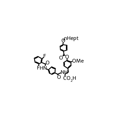 CCCCCCCOc1ccc(C(=O)Oc2ccc(CC(NC(=O)c3ccc(NC(=O)c4c(F)cccc4F)cc3)C(=O)O)cc2OC)cc1